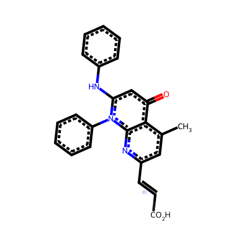 Cc1cc(/C=C/C(=O)O)nc2c1c(=O)cc(Nc1ccccc1)n2-c1ccccc1